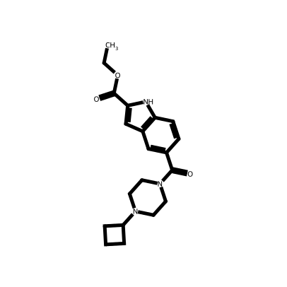 CCOC(=O)c1cc2cc(C(=O)N3CCN(C4CCC4)CC3)ccc2[nH]1